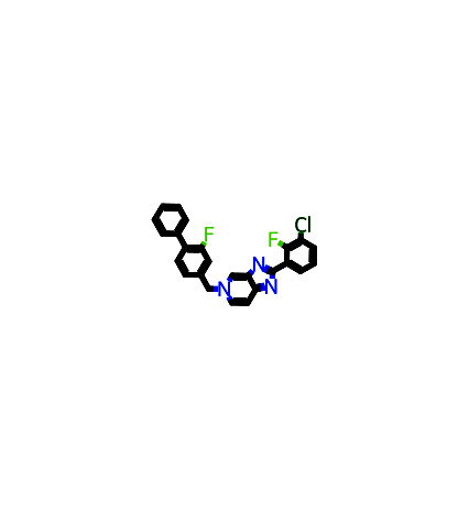 Fc1cc(Cn2ccc3nc(-c4cccc(Cl)c4F)nc-3c2)ccc1-c1ccccc1